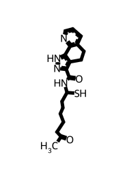 CC(=O)CCCCCC(S)NC(=O)c1n[nH]c2c1CCc1cccnc1-2